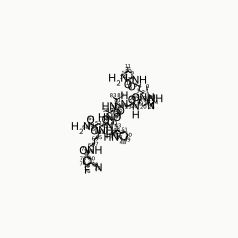 CC[C@@H](CCC(=O)N[C@@H](CC(C)C)C(N)=O)NC(=O)[C@H](Cc1c[nH]cn1)NC(=O)CNC(=O)[C@@H](NC(=O)[C@H](C)NC(=O)[C@H](Cc1c[nH]c2ccccc12)NC(=O)[C@H](CCC(N)=O)NC(=O)CCCCNC(=O)c1ccc(F)c(C#N)c1)C(C)C